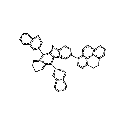 C1=c2c(-c3ccc4ccccc4c3)c3nc4ccc(-c5ccc6c7c5ccc5cccc(c57)CC6)cn4c3c(-c3ccc4ccccc4c3)c2=CCC1